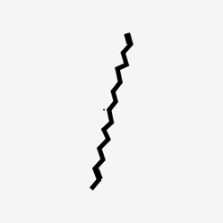 C=CCCCCCC[CH]CCCCCC=CC